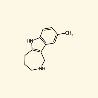 Cc1ccc2[nH]c3c(c2c1)CNCCC3